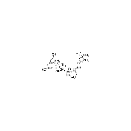 C1COCCN1.CC(C)(N)CO.CC(C)(N)CO.CCN(CC)CC.CCNCC.NCCO.OCCNCCO